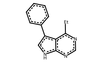 CCc1ncnc2[nH]cc(-c3ccccc3)c12